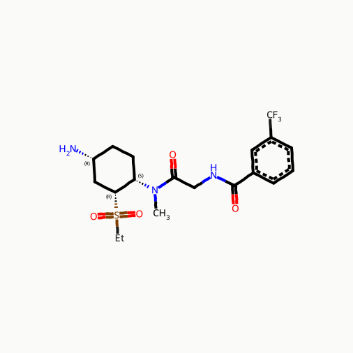 CCS(=O)(=O)[C@@H]1C[C@H](N)CC[C@@H]1N(C)C(=O)CNC(=O)c1cccc(C(F)(F)F)c1